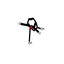 O=C1OCC(O)OC(=O)c2c3ccc1c2CC3O